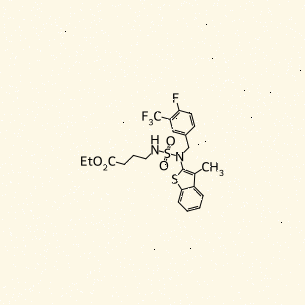 CCOC(=O)CCCNS(=O)(=O)N(Cc1ccc(F)c(C(F)(F)F)c1)c1sc2ccccc2c1C